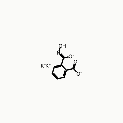 O=C([O-])c1ccccc1/C([O-])=N/O.[K+].[K+]